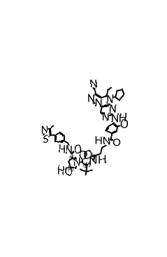 CCC1c2c(C#N)ncn2-c2cnc(Nc3ccc(C(=O)NCCCC(=O)N[C@H](C(=O)N4C[C@H](O)C[C@H]4C(=O)NCc4ccc(-c5scnc5C)cc4)C(C)(C)C)cc3OC)nc2N1C1CCCC1